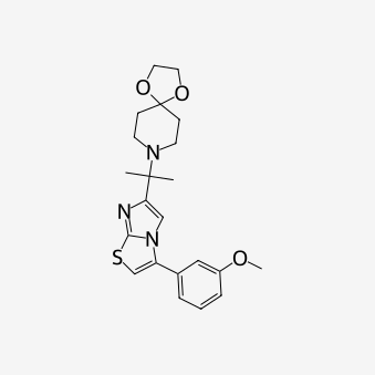 COc1cccc(-c2csc3nc(C(C)(C)N4CCC5(CC4)OCCO5)cn23)c1